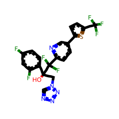 OC(Cn1cnnn1)(c1ccc(F)cc1F)C(F)(F)c1ccc(-c2ccc(C(F)(F)F)s2)cn1